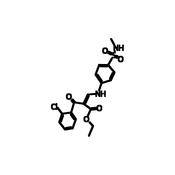 CCOC(=O)C(=CNc1ccc(S(=O)(=O)NC)cc1)C(=O)c1ccccc1Cl